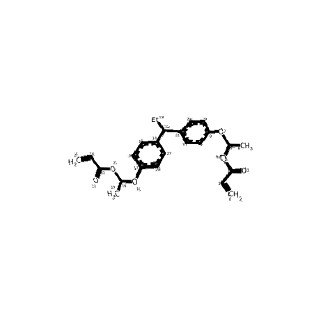 C=CC(=O)OC(C)Oc1ccc(C(CC)c2ccc(OC(C)OC(=O)C=C)cc2)cc1